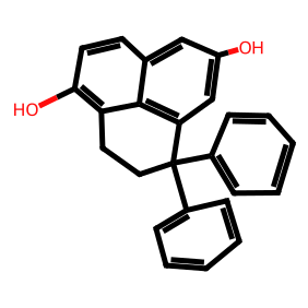 Oc1cc2c3c(c(O)ccc3c1)CCC2(c1ccccc1)c1ccccc1